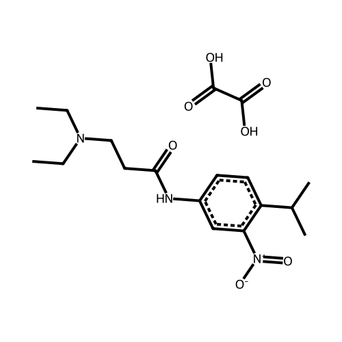 CCN(CC)CCC(=O)Nc1ccc(C(C)C)c([N+](=O)[O-])c1.O=C(O)C(=O)O